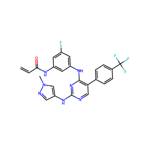 C=CC(=O)Nc1cc(F)cc(Nc2nc(Nc3cnn(C)c3)ncc2-c2ccc(C(F)(F)F)cc2)c1